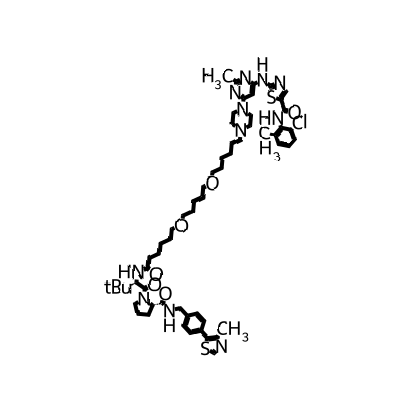 Cc1nc(Nc2ncc(C(=O)Nc3c(C)cccc3Cl)s2)cc(N2CCN(CCCCCCOCCCCCOCCCCCC(=O)N[C@H](C(=O)N3CCC[C@H]3C(=O)NCc3ccc(-c4scnc4C)cc3)C(C)(C)C)CC2)n1